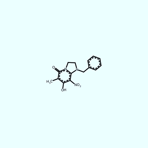 Cc1c(O)c([N+](=O)[O-])c2n(c1=O)CCN2Cc1ccccc1